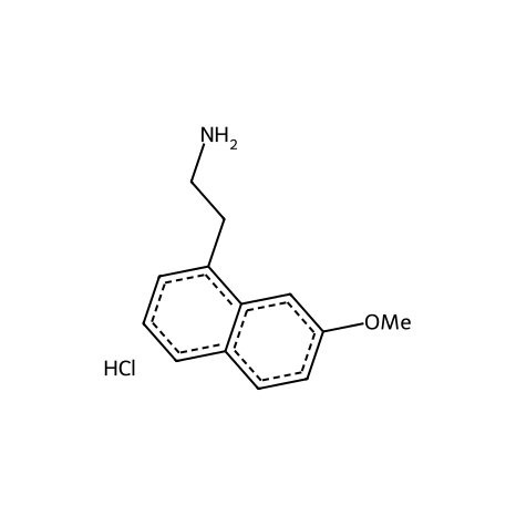 COc1ccc2cccc(CCN)c2c1.Cl